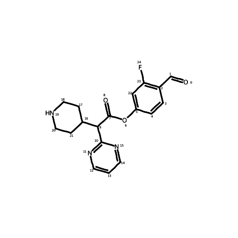 O=Cc1ccc(OC(=O)C(c2ncccn2)C2CCNCC2)cc1F